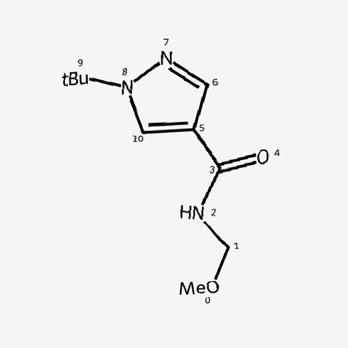 COCNC(=O)c1cnn(C(C)(C)C)c1